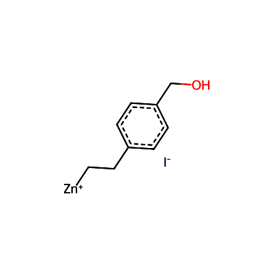 OCc1ccc(C[CH2][Zn+])cc1.[I-]